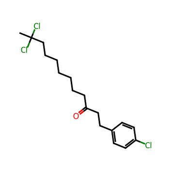 CC(Cl)(Cl)CCCCCCCC(=O)CCc1ccc(Cl)cc1